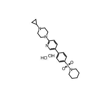 Cl.Cl.O=S(=O)(c1ccc(-c2ccc(N3CCN(C4CC4)CC3)nc2)cc1)N1CCCCC1